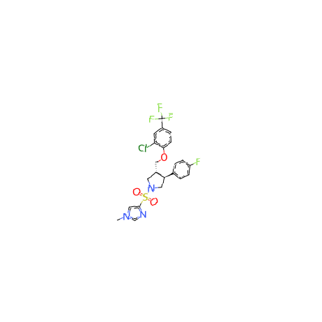 Cn1cnc(S(=O)(=O)N2C[C@H](COc3ccc(C(F)(F)F)cc3Cl)[C@@H](c3ccc(F)cc3)C2)c1